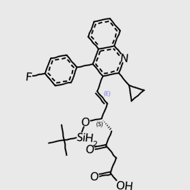 CC(C)(C)[SiH2]O[C@H](/C=C/c1c(C2CC2)nc2ccccc2c1-c1ccc(F)cc1)CC(=O)CC(=O)O